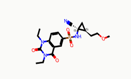 CCn1c(=O)c2cc(S(=O)(=O)N[C@@]3(C#N)C[C@H]3CCOC)ccc2n(CC)c1=O